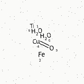 O.O.[Fe].[O]=[Cu].[Ti]